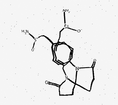 N[S+]([O-])Cc1ccc(N2C(=O)CCC23CCC(=O)N3c2ccc(C[S+](N)[O-])cc2)cc1